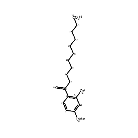 COc1ccc(C(=O)CCCCCCCCCC(=O)O)c(O)c1